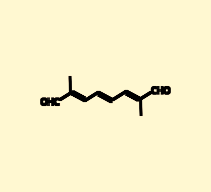 CC(C=O)=C/C=C/C=C(C)C=O